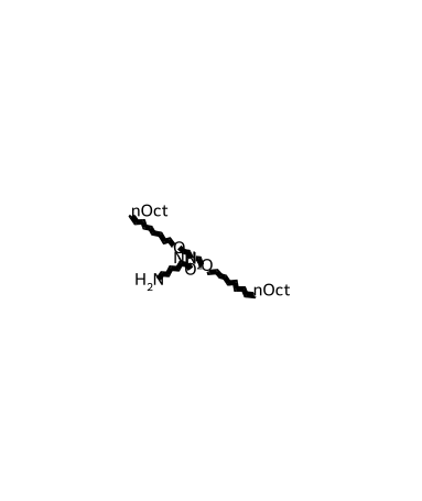 CCCCCCCC/C=C\CCCCCCCCOCCN(CCOCCCCCCCC/C=C\CCCCCCCC)C(=O)[C@@H](N)CCCCN